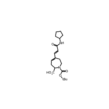 CC(C)(C)OC(=O)N1CCC(C=CC(=O)NC2CCCC2)=CCC1C(=O)O